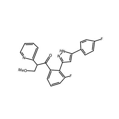 COCC(C(=O)c1cccc(F)c1-c1cc(-c2ccc(F)cc2)[nH]n1)c1ccccn1